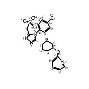 CS(=O)(=O)Cc1nnc([C@H]2CC[C@H](Oc3ccccn3)CC2)n1-c1ccc(Cl)cc1